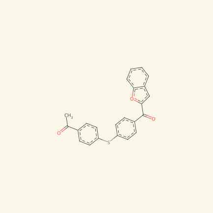 CC(=O)c1ccc(Sc2ccc(C(=O)c3cc4ccccc4o3)cc2)cc1